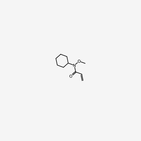 C=CC(=O)N(OC)C1CCCCC1